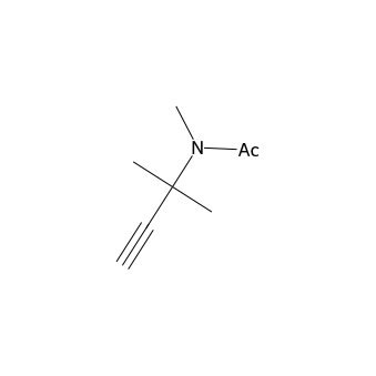 C#CC(C)(C)N(C)C(C)=O